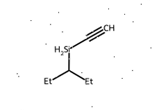 C#C[SiH2]C(CC)CC